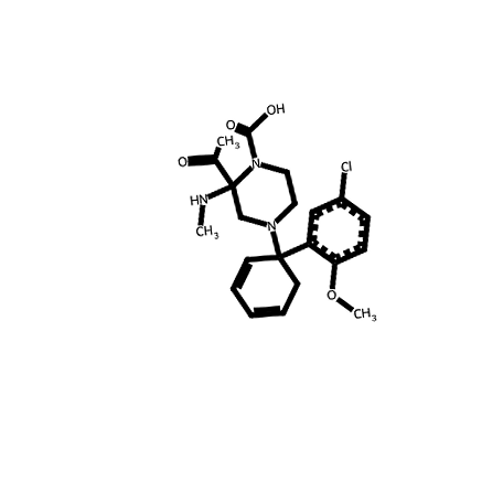 CNC1(C(C)=O)CN(C2(c3cc(Cl)ccc3OC)C=CC=CC2)CCN1C(=O)O